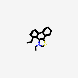 CCc1cccc2c3c(c4c(c12)N(CC)CS4)=CCCC=3